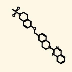 CS(=O)(=O)N1CCc2cc(OCc3ccc4c(c3)CCN(c3ncc5ccccc5n3)C4)ccc2C1